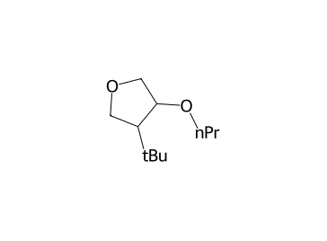 CCCOC1COCC1C(C)(C)C